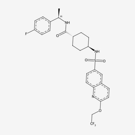 C[C@@H](NC(=O)[C@H]1CC[C@H](NS(=O)(=O)c2ccc3nc(OCC(F)(F)F)ccc3c2)CC1)c1ccc(F)cc1